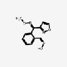 CO/N=C(/c1ccon1)c1ccccc1/C=N\O